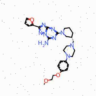 COCCOc1ccc(N2CCN(C[C@H]3CCCN(c4nc(N)n5nc(-c6ccco6)nc5n4)C3)CC2)cc1